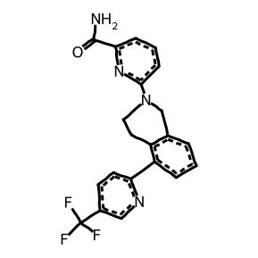 NC(=O)c1cccc(N2CCc3c(cccc3-c3ccc(C(F)(F)F)cn3)C2)n1